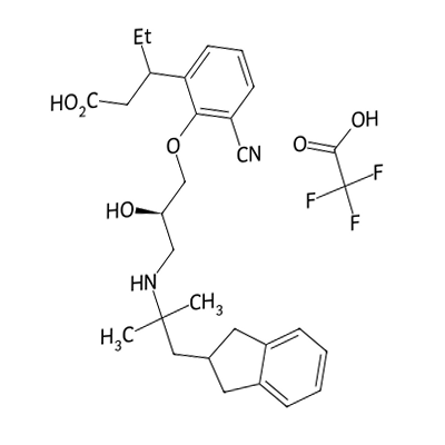 CCC(CC(=O)O)c1cccc(C#N)c1OC[C@H](O)CNC(C)(C)CC1Cc2ccccc2C1.O=C(O)C(F)(F)F